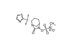 C[NH+]([O-])S(=O)(=O)ON1C(=O)N2CC1CC[C@H]2C(F)(F)c1nccs1